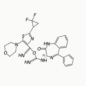 N=C(N[C@H]1N=C(c2ccccc2)c2ccccc2NC1=O)OC(=N)c1nc(C2CC2(F)F)sc1N1CCOCC1